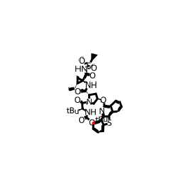 C=C[C@@H]1C[C@]1(NC(=O)[C@@H]1C[C@@H](Oc2nc3c4ccccc4sc3c3ccccc23)CN1C(=O)[C@@H](NC(=O)OC(C)(C)C)C(C)(C)C)C(=O)NS(=O)(=O)C1CC1